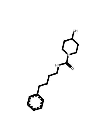 O=C(NCCCCc1ccccc1)N1CCC(O)CC1